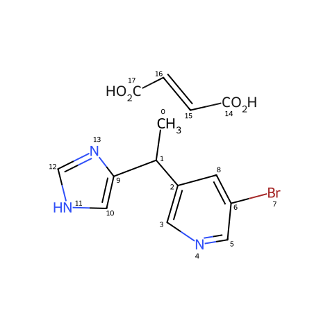 CC(c1cncc(Br)c1)c1c[nH]cn1.O=C(O)C=CC(=O)O